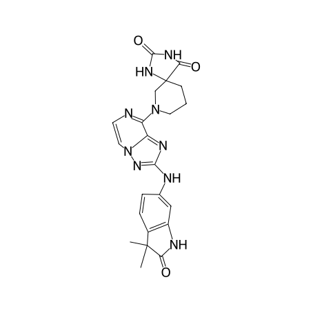 CC1(C)C(=O)Nc2cc(Nc3nc4c(N5CCCC6(C5)NC(=O)NC6=O)nccn4n3)ccc21